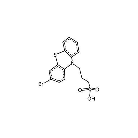 O=S(=O)(O)CCCN1c2ccccc2Sc2cc(Br)ccc21